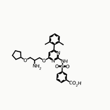 Cc1cccc(C)c1-c1cc(OCC(N)COC2CCCC2)nc(NS(=O)(=O)c2cccc(C(=O)O)c2)n1